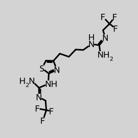 N/C(=N/CC(F)(F)F)NCCCCc1csc(N/C(N)=N\CC(F)(F)F)n1